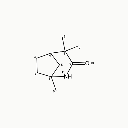 CC12CCC(C1)C(C)(C)C(=O)N2